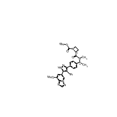 COc1cc(-c2[nH]nc(-c3ccc([C@H](C)N(C)C(=O)[C@@H]4CCN4C(=O)OC(C)(C)C)cc3)c2C(C)C)cn2ncnc12